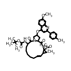 COc1ccc2c(OC3CC4C(=O)NC5(P(C)(C)=O)CC5/C=C/CCCCCC(NC(=O)OC(C)(C)C)C(=O)N4C3)cc(-c3ccc(C)cc3)nc2c1